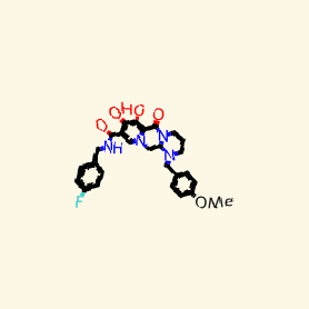 COc1ccc(CN2CCCN3C(=O)c4c(O)c(=O)c(C(=O)NCc5ccc(F)cc5)cn4CC23)cc1